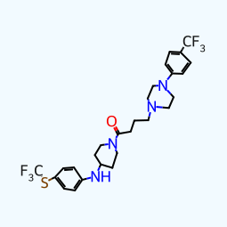 O=C(CCCN1CCN(c2ccc(C(F)(F)F)cc2)CC1)N1CCC(Nc2ccc(SC(F)(F)F)cc2)CC1